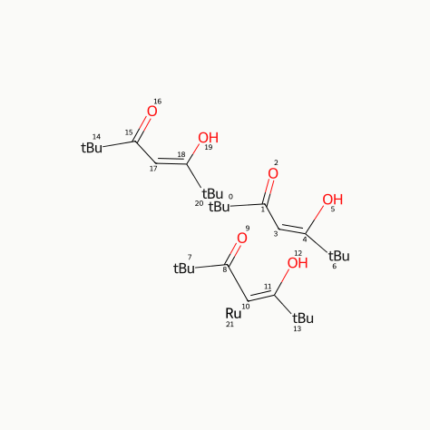 CC(C)(C)C(=O)C=C(O)C(C)(C)C.CC(C)(C)C(=O)C=C(O)C(C)(C)C.CC(C)(C)C(=O)C=C(O)C(C)(C)C.[Ru]